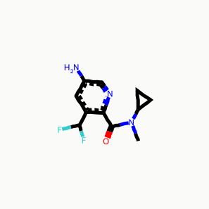 CN(C(=O)c1ncc(N)cc1C(F)F)C1CC1